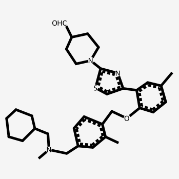 Cc1ccc(OCc2ccc(CN(C)CC3CCCCC3)cc2C)c(-c2csc(N3CCC(C=O)CC3)n2)c1